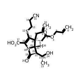 C=CCOC(=O)C[C@@]1(CC=C)C(SCCC#N)=C(C(=O)O)N2C(=O)[C@H]([C@@H](C)O)[C@H]21